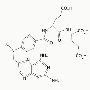 CN(Cc1cnc2nc(N)nc(N)c2n1)c1ccc(C(=O)NC(CCC(=O)O)C(=O)NC(CCC(=O)O)C(=O)O)cc1